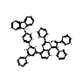 c1ccc(-c2cc(-c3cccc4c3cc(-c3ccccc3)n3nc(-c5ccccc5)c(-c5ccccc5)c43)cc(-c3ccc(-n4c5ccccc5c5ccccc54)cc3)n2)cc1